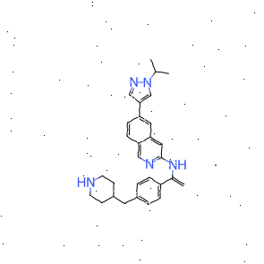 C=C(Nc1cc2cc(-c3cnn(C(C)C)c3)ccc2cn1)c1ccc(CC2CCNCC2)cc1